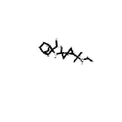 CCOC(C)(C)C1CC12CC2(C)OC1(CC)CC2CCC1C2